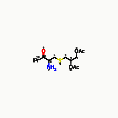 CC(=O)OCC(CSCC(N)C(=O)C(C)C)OC(C)=O